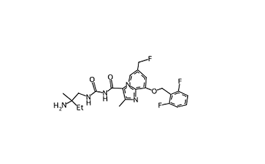 CCC(C)(N)CNC(=O)NC(=O)c1c(C)nc2c(OCc3c(F)cccc3F)cc(CF)cn12